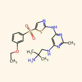 CCOc1cccc(S(=O)(=O)c2cnc(Nc3cc(NCC(C)(C)N)nc(C)n3)s2)c1